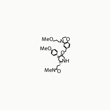 CNC(=O)CC[C@@H]1C[C@H](c2ccc(OC)cc2)[C@@H](OCc2ccc3c(c2)N(CCCOC)CCO3)CN1